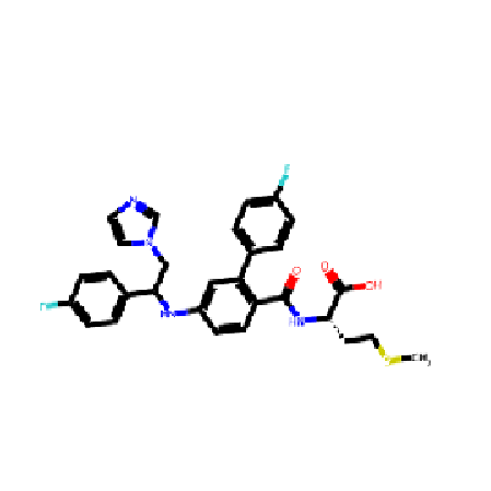 CSCC[C@H](NC(=O)c1ccc(NC(Cn2ccnc2)c2ccc(F)cc2)cc1-c1ccc(F)cc1)C(=O)O